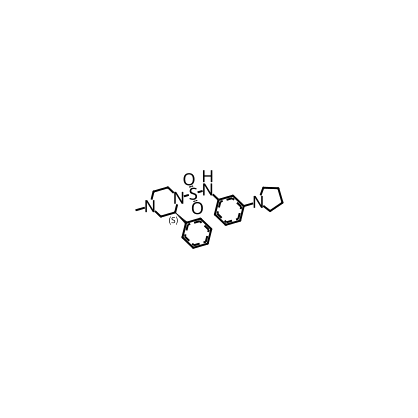 CN1CCN(S(=O)(=O)Nc2cccc(N3CCCC3)c2)[C@@H](c2ccccc2)C1